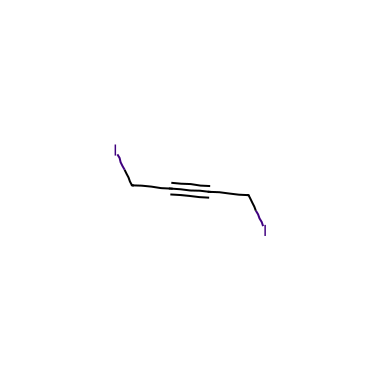 ICC#CCI